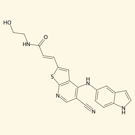 N#Cc1cnc2sc(/C=C/C(=O)NCCO)cc2c1Nc1ccc2[nH]ccc2c1